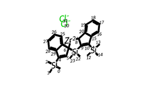 C[Si](C)(C)C1=C[C]2([Zr+2][CH]3C(=C([Si](C)(C)C)c4ccccc43)[Si]2(C)C)c2ccccc21.[Cl-].[Cl-]